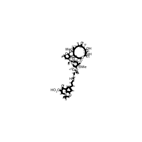 CC[C@H]1OC(=O)[C@H](C)[C@@H](O[C@H]2C[C@@](C)(OC)[C@@H](OS(=O)(=O)CCNCCCc3cc4c5c(c3)c(=O)c(C(=O)O)cn5C(C)(C)CO4)[C@H](C)O2)[C@H](C)[C@@H](O[C@@H]2O[C@H](C)C[C@H](N(C)C)[C@H]2O)[C@](C)(OC)C[C@@H](C)C(=O)[C@H](C)[C@@H](O)[C@]1(C)O